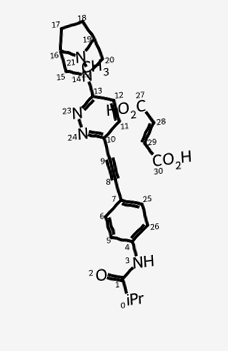 CC(C)C(=O)Nc1ccc(C#Cc2ccc(N3CC4CCC(C3)N4C)nn2)cc1.O=C(O)/C=C/C(=O)O